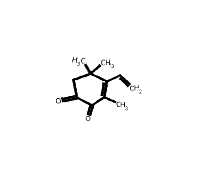 C=CC1=C(C)C(=O)C(=O)CC1(C)C